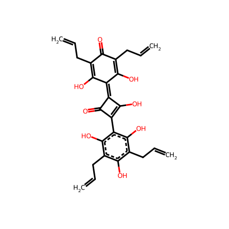 C=CCC1=C(O)C(=C2C(=O)C(c3c(O)c(CC=C)c(O)c(CC=C)c3O)=C2O)C(O)=C(CC=C)C1=O